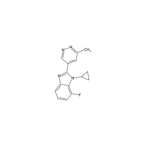 Cc1cc(-c2nc3cccc(F)c3n2C2CC2)cnn1